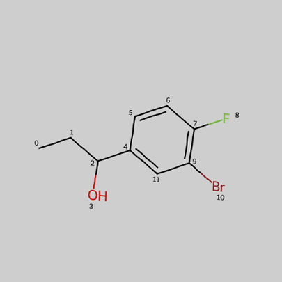 CCC(O)c1ccc(F)c(Br)c1